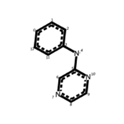 c1ccc([N]c2cnccn2)cc1